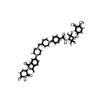 CC1c2ccc(N3CCN(CC4CCN(c5ccc(C(=O)N[C@H]6C(C)(C)[C@H](Oc7ccc(C#N)c(Cl)c7)C6(C)C)cc5)CC4)CC3)cc2C(=O)N1C1CCC(=O)NC1=O